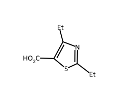 CCc1nc(CC)c(C(=O)O)s1